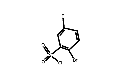 O=S(=O)(Cl)c1cc(F)ccc1Br